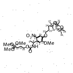 COc1cc(C(C)NC(=O)OCCC[Si](OC)(OC)OC)c([N+](=O)[O-])cc1OCCC[Si](C)(C)O[Si](C)(C)O[Si](C)(C)C